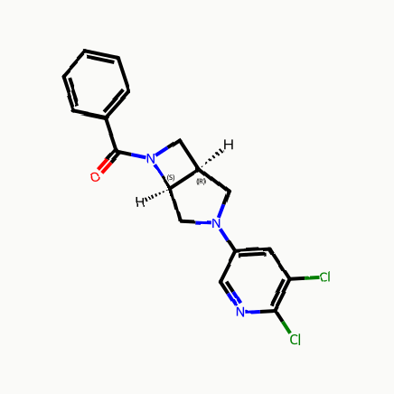 O=C(c1ccccc1)N1C[C@H]2CN(c3cnc(Cl)c(Cl)c3)C[C@H]21